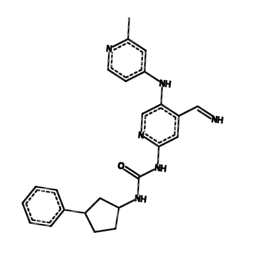 Cc1cc(Nc2cnc(NC(=O)NC3CCC(c4ccccc4)C3)cc2C=N)ccn1